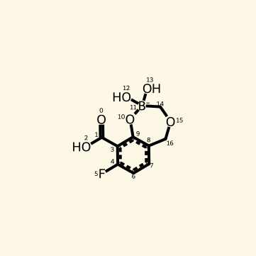 O=C(O)c1c(F)ccc2c1O[B-](O)(O)COC2